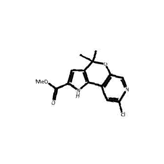 COC(=O)c1cc2c([nH]1)-c1cc(Cl)ncc1OC2(C)C